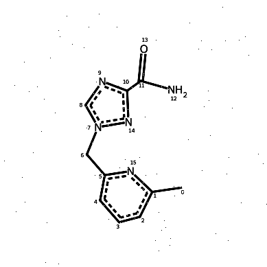 Cc1cccc(Cn2cnc(C(N)=O)n2)n1